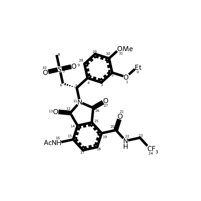 CCOc1cc([C@@H](CS(C)(=O)=O)N2C(=O)c3c(NC(C)=O)ccc(C(=O)NCC(F)(F)F)c3C2=O)ccc1OC